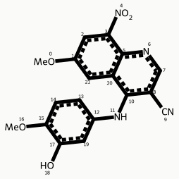 COc1cc([N+](=O)[O-])c2ncc(C#N)c(Nc3ccc(OC)c(O)c3)c2c1